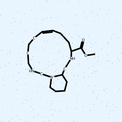 COC(=O)C1CCC=CCCCCNC[N+]2CCCCC2CN1